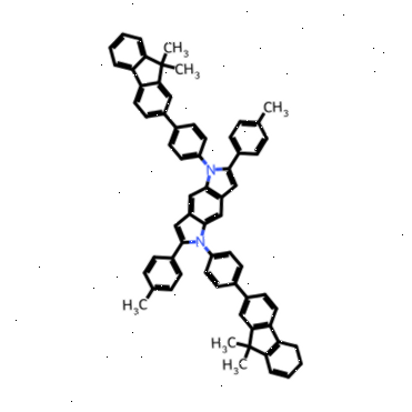 Cc1ccc(-c2cc3cc4c(cc(-c5ccc(C)cc5)n4-c4ccc(-c5ccc6c(c5)C(C)(C)c5ccccc5-6)cc4)cc3n2-c2ccc(-c3ccc4c(c3)C(C)(C)C3=C4CCC=C3)cc2)cc1